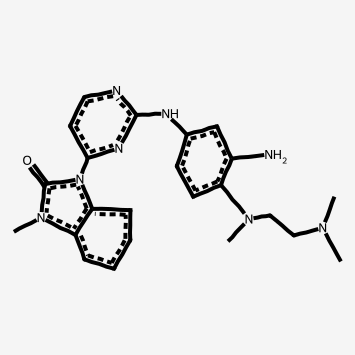 CN(C)CCN(C)c1ccc(Nc2nccc(-n3c(=O)n(C)c4ccccc43)n2)cc1N